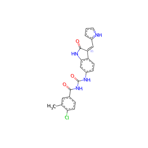 Cc1cc(C(=O)NC(=O)Nc2ccc3c(c2)NC(=O)/C3=C\c2ccc[nH]2)ccc1Cl